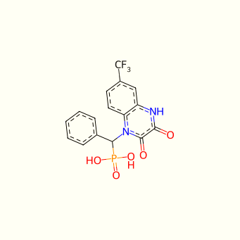 O=c1[nH]c2cc(C(F)(F)F)ccc2n(C(c2ccccc2)P(=O)(O)O)c1=O